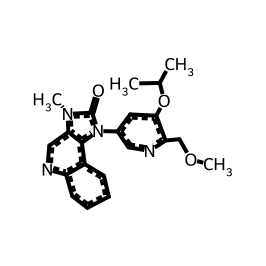 COCc1ncc(-n2c(=O)n(C)c3cnc4ccccc4c32)cc1OC(C)C